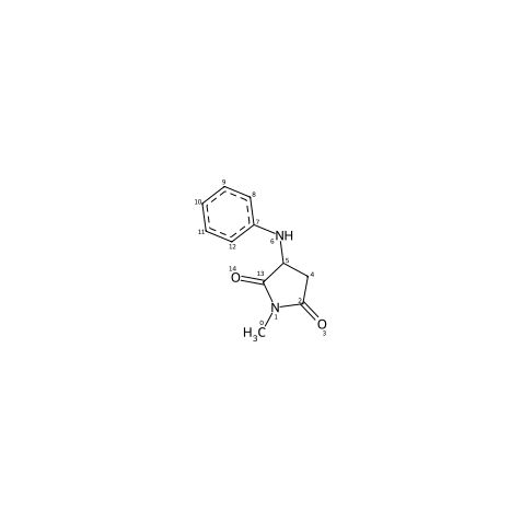 CN1C(=O)CC(Nc2ccccc2)C1=O